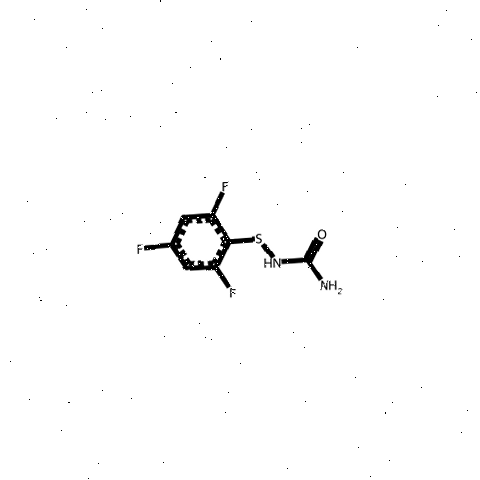 NC(=O)NSc1c(F)cc(F)cc1F